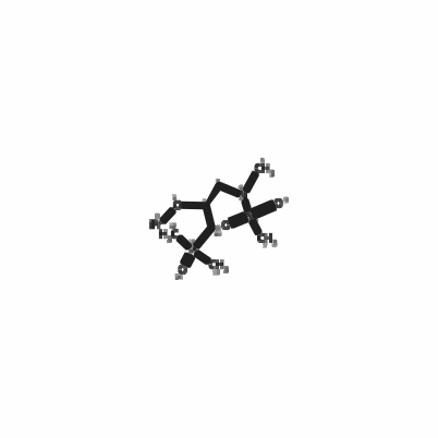 CC(C)O[C@@H](CN(C)S(C)(=O)=O)CP(C)(C)=O